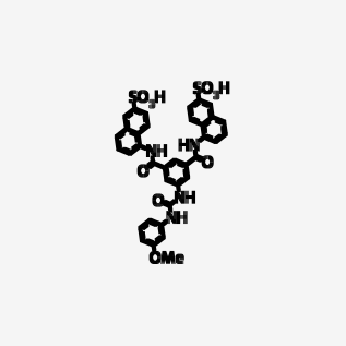 COc1cccc(NC(=O)Nc2cc(C(=O)Nc3cccc4cc(S(=O)(=O)O)ccc34)cc(C(=O)Nc3cccc4cc(S(=O)(=O)O)ccc34)c2)c1